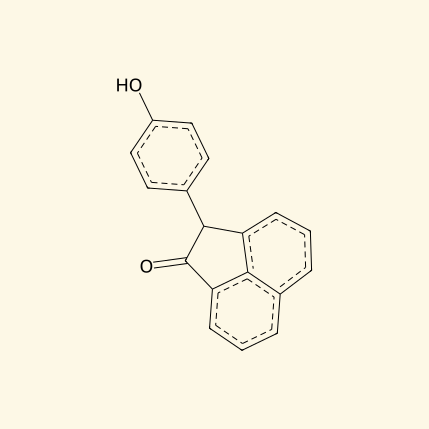 O=C1c2cccc3cccc(c23)C1c1ccc(O)cc1